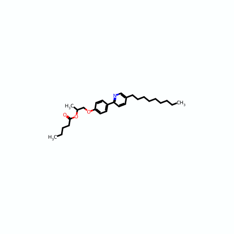 CCCCCCCCCc1ccc(-c2ccc(OCC(C)OC(=O)CCCC)cc2)nc1